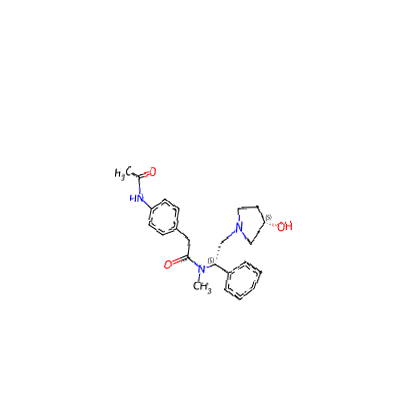 CC(=O)Nc1ccc(CC(=O)N(C)[C@H](CN2CC[C@H](O)C2)c2ccccc2)cc1